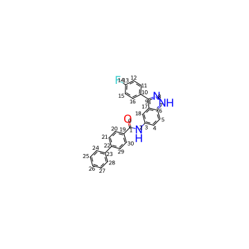 O=C(Nc1ccc2[nH]nc(-c3ccc(F)cc3)c2c1)c1ccc(-c2ccccc2)cc1